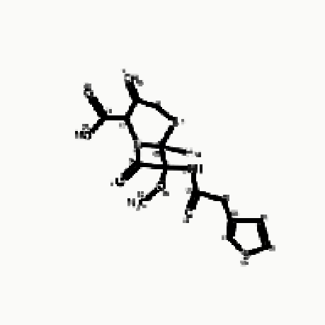 C=C1CS[C@H]2N(C(=O)C2(NC(=O)Cc2ccsc2)OC)C1C(=O)O